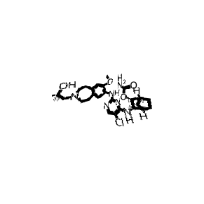 COc1cc2c(cc1Nc1ncc(Cl)c(N[C@H]3[C@@H](OC(N)=O)[C@@H]4C=C[C@H]3C4)n1)CCN(C[C@@H](C)O)CC2